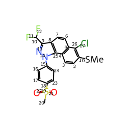 CSc1ccc2c(ccc3c(C(F)F)nn(-c4ccc(S(C)(=O)=O)cc4)c32)c1Cl